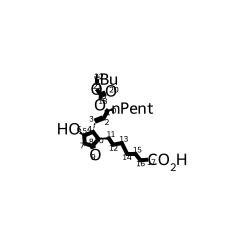 CCCCC[C@@H](/C=C/[C@H]1[C@H](O)CC(=O)[C@@H]1CCCCCCC(=O)O)OC(=O)OC(C)(C)C